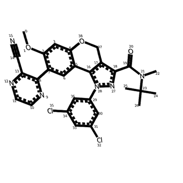 COc1cc2c(cc1-c1nccnc1C#N)-c1c(c(C(=O)N(C)C(C)(C)C)nn1-c1cc(Cl)cc(Cl)c1)CO2